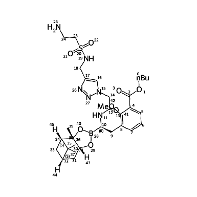 CCCCOC(=O)c1cccc(C[C@H](NC(=O)Cn2cc(CNS(=O)(=O)CCN)nn2)B2O[C@@H]3C[C@@H]4C[C@@H](C4(C)C)[C@]3(C)O2)c1OC